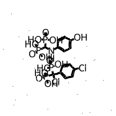 O=P(O)(O)C(Cl)(c1ccc(Cl)cc1)P(=O)(O)O.O=P(O)(O)C(Nc1ccc(O)cc1)P(=O)(O)O